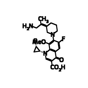 COc1c(N2CCCC(=C(C)CN)C2)c(F)cc2c(=O)c(C(=O)O)cn([C@@H]3C[C@@H]3F)c12